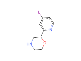 Ic1ccnc(C2CNCCO2)c1